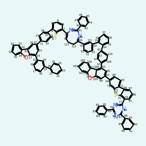 C1=C(c2cccc3c2sc2cc(-c4cc(-c5cccc(-c6ccccc6)c5)c5oc6ccccc6c5c4)ccc23)/N=C(c2ccccc2)\N=C(\c2cccc(-c3ccccc3-c3ccc(-c4cc(-c5ccc6c(c5)sc5c(-c7nc(-c8ccccc8)nc(-c8ccccc8)n7)cccc56)cc5oc6ccccc6c45)cc3)c2)CC\1